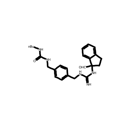 CCCCNC(=O)NCc1ccc(CNC(=N)NC2(C=O)CCc3ccccc32)cc1